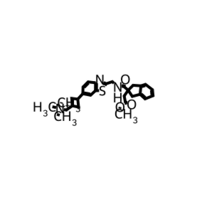 COC(=O)CC1(C(=O)NCc2nc3ccc(C4CC(C[N+](C)(C)C)C4)cc3s2)Cc2ccccc2C1